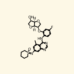 Cc1cc(N=S2(=O)CCCCC2)cc2ncnc(Nc3ccc(F)cc3O[C@@H]3CO[C@H]4[C@@H]3OC[C@H]4O)c12